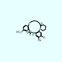 N#Cc1cc2c(cc1Cl)N1CCCC[C@H]1CCCCOc1ccc(C(=O)O)cc1S(=O)(=O)N2